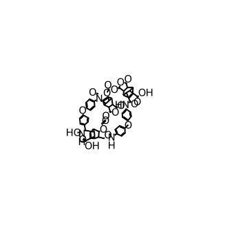 O=COC1C2C=CC(C1CONc1ccc(Oc3ccc(NC(=O)C4C5C=CC(C4C(=O)O)C4C(=O)OC(=O)C54)cc3)cc1)C(C(=O)O)C2C(NO)c1ccc(Oc2ccc(N(C=O)C3C4C=CC(C3OC=O)C3C(=O)OC(=O)C43)cc2)cc1